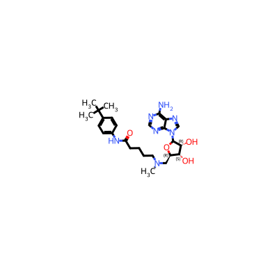 CN(CCCCC(=O)Nc1ccc(C(C)(C)C)cc1)C[C@H]1OC(n2cnc3c(N)ncnc32)[C@H](O)[C@@H]1O